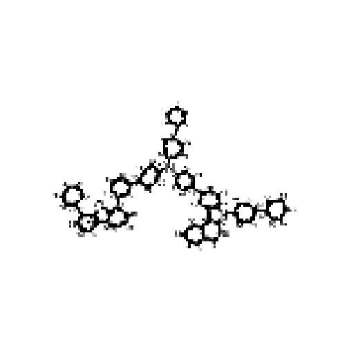 c1ccc(-c2ccc(N(c3ccc(-c4cccc(-c5cccc6c5oc5c(-c7ccccc7)cccc56)c4)cc3)c3ccc(-c4ccc5c(c4)c4c6ccccc6ccc4n5-c4ccc(-c5ccccc5)cc4)cc3)cc2)cc1